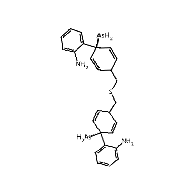 Nc1ccccc1C1([AsH2])C=CC(CSCC2C=CC([AsH2])(c3ccccc3N)C=C2)C=C1